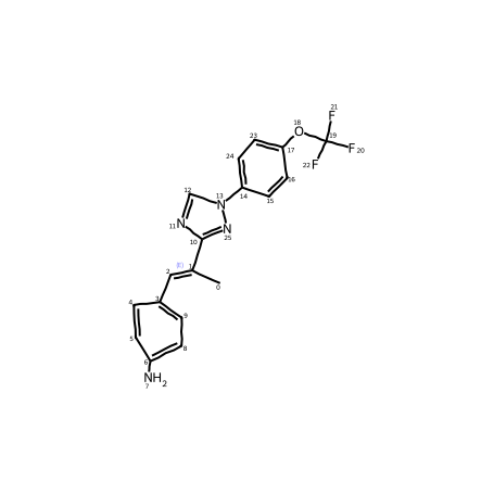 C/C(=C\c1ccc(N)cc1)c1ncn(-c2ccc(OC(F)(F)F)cc2)n1